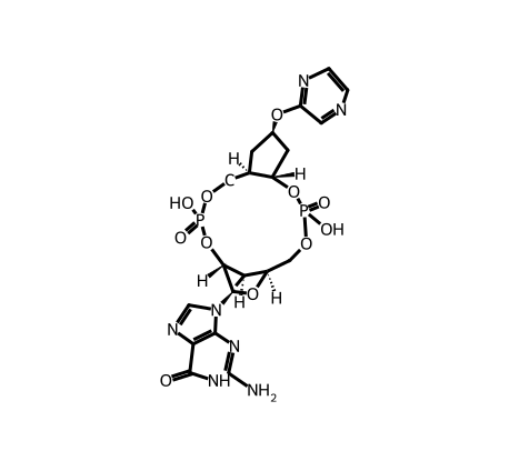 C[C@H]1[C@H]2OP(=O)(O)OC[C@H]3C[C@@H](Oc4cnccn4)C[C@@H]3OP(=O)(O)OC[C@H]1O[C@H]2n1cnc2c(=O)[nH]c(N)nc21